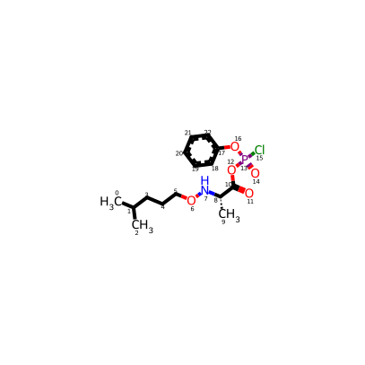 CC(C)CCCON[C@@H](C)C(=O)OP(=O)(Cl)Oc1ccccc1